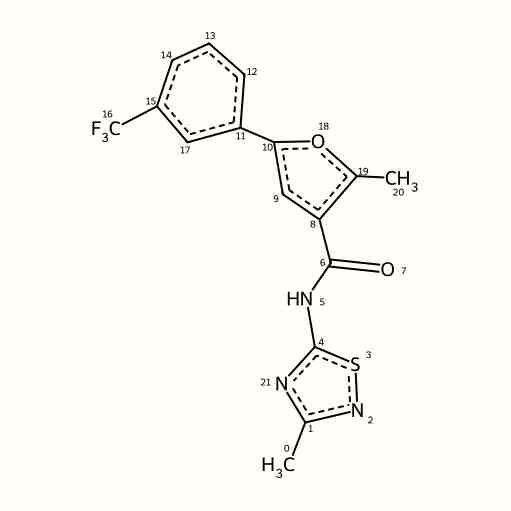 Cc1nsc(NC(=O)c2cc(-c3cccc(C(F)(F)F)c3)oc2C)n1